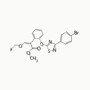 COC(=O)C(=COCF)c1ccccc1Oc1nc(-c2ccc(Br)cc2)ns1